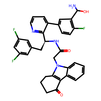 NC(O)c1cc(-c2cccnc2[C@H](Cc2cc(F)cc(F)c2)NC(=O)Cn2c3c(c4ccccc42)C(=O)CCC3)ccc1F